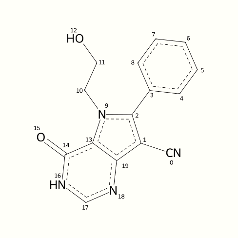 N#Cc1c(-c2ccccc2)n(CCO)c2c(=O)[nH]cnc12